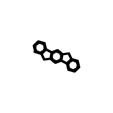 [c]1cccc2c1Cc1cc3c(cc1-2)Cc1ccccc1-3